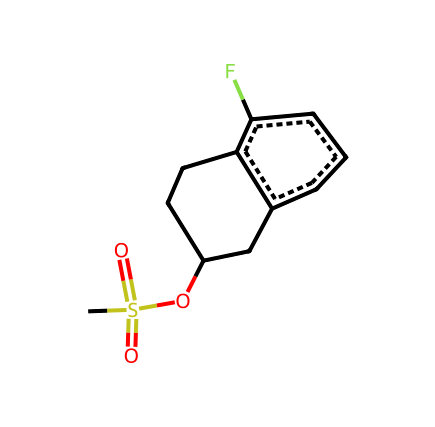 CS(=O)(=O)OC1CCc2c(F)cccc2C1